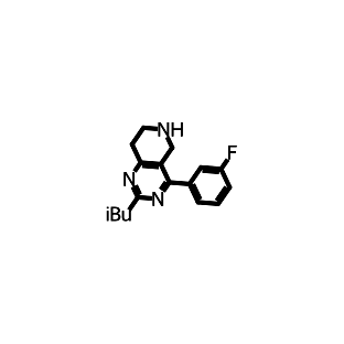 CCC(C)c1nc2c(c(-c3cccc(F)c3)n1)CNCC2